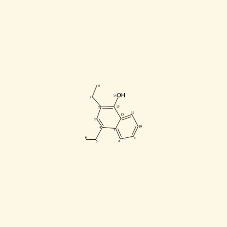 CCc1cc(CC)c2ccccc2c1O